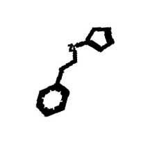 C1=CC[C]([Zr][CH2]Cc2ccccc2)=C1